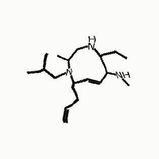 C=CCC1/C=C/C(NC)C(CC)NCC(C)N1CC(C)C